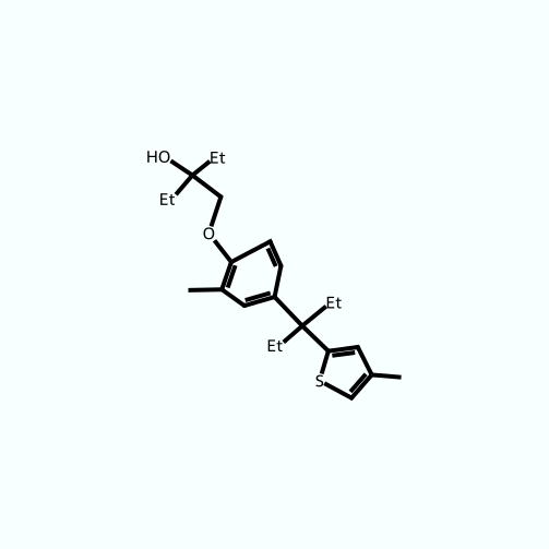 CCC(O)(CC)COc1ccc(C(CC)(CC)c2cc(C)cs2)cc1C